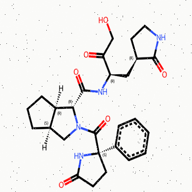 O=C1CC[C@@](C(=O)N2C[C@H]3CCC[C@H]3[C@@H]2C(=O)N[C@H](C[C@H]2CCNC2=O)C(=O)CO)(c2ccccc2)N1